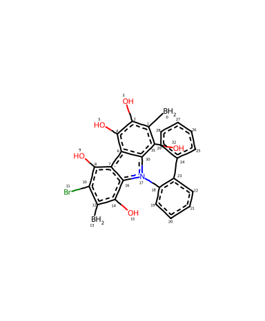 Bc1c(O)c(O)c2c3c(O)c(Br)c(B)c(O)c3n(-c3ccccc3-c3ccccc3)c2c1O